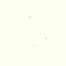 CCOC(=O)c1c(-c2ccc(-c3ccccc3)c([S+](C)[O-])c2)ccn1C